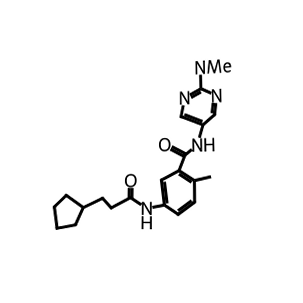 CNc1ncc(NC(=O)c2cc(NC(=O)CCC3CCCC3)ccc2C)cn1